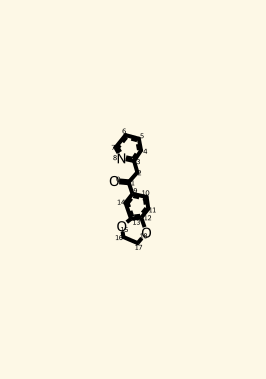 O=C(Cc1ccccn1)c1ccc2c(c1)OCCO2